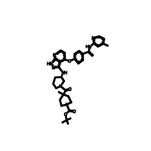 C=C(Nc1cc(C)ccn1)c1ccc(Oc2ccnc3[nH]nc(N[C@@H]4CCCN(C(=O)C5(C)CCN(C(=O)OC(C)(C)C)CC5)C4)c23)cc1